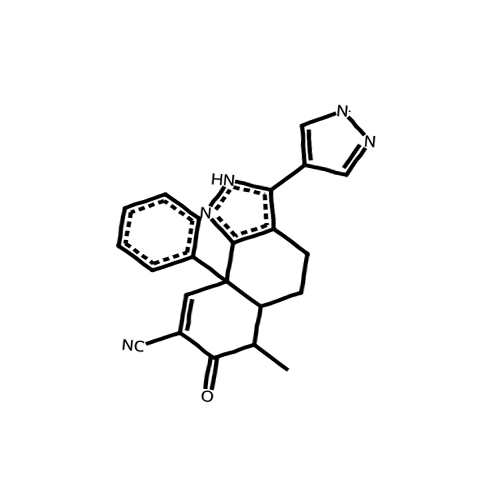 CC1C(=O)C(C#N)=CC2(c3ccccc3)c3n[nH]c(C4=C[N]N=C4)c3CCC12